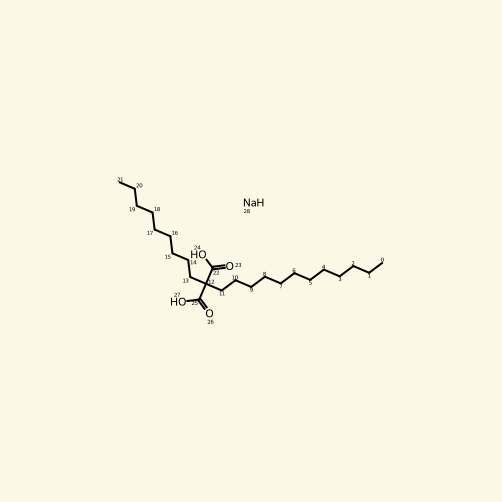 CCCCCCCCCCCCC(CCCCCCCCC)(C(=O)O)C(=O)O.[NaH]